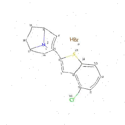 Br.CN1C2C=C(c3cc4c(Cl)cccc4s3)CC1CC2